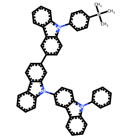 C[Si](C)(C)c1ccc(-n2c3ccccc3c3cc(-c4ccc5c6ccccc6n(-c6ccc7c(c6)c6ccccc6n7-c6ccccc6)c5c4)ccc32)cc1